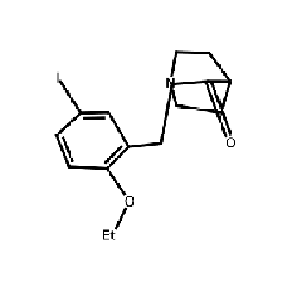 CCOc1ccc(I)cc1CC1C(=O)C2CCN1CC2